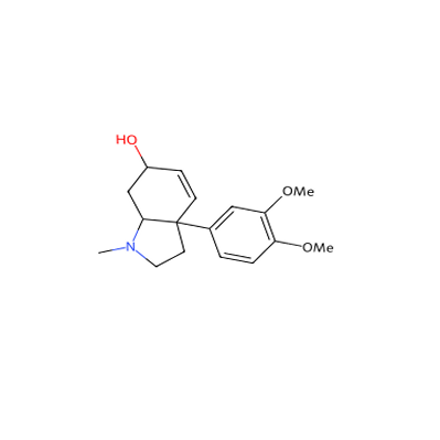 COc1ccc(C23C=CC(O)CC2N(C)CC3)cc1OC